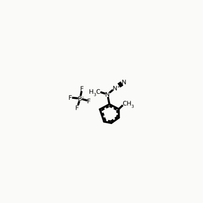 Cc1ccccc1N(C)[N+]#N.F[B-](F)(F)F